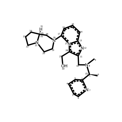 C[C@@H](c1ccccn1)N(C)Cc1nc2cccc(N3CCN4CCC[C@H]4C3)n2c1CO